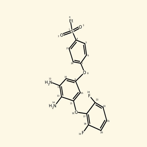 CCS(=O)(=O)c1ccc(Oc2cc(N)c(N)c(Oc3c(F)cccc3F)c2)cc1